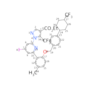 CCOC(=O)c1cnn(-c2cc(I)cc(-c3cc(C)ccc3OCc3ccc(C4CCC(C(F)(F)F)CC4)cc3)n2)c1C(F)(F)F